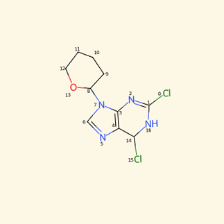 ClC1=Nc2c(ncn2C2CCCCO2)C(Cl)N1